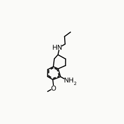 CCCNC1CCc2c(ccc(OC)c2N)C1